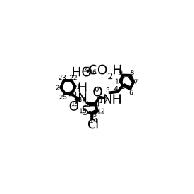 O=C(NCCc1ccccc1)c1cc(Cl)sc1NC(=O)C1CCCCC1.O=C(O)O